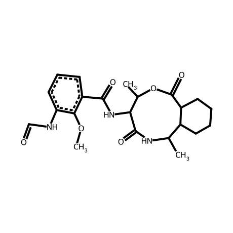 COc1c(NC=O)cccc1C(=O)NC1C(=O)NC(C)C2CCCCC2C(=O)OC1C